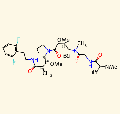 CC[C@H](C)C([C@@H](CC(=O)N1CCC[C@H]1[C@H](OC)[C@@H](C)C(=O)NCCc1c(F)cccc1F)OC)N(C)C(=O)CNC(=O)C(NC)C(C)C